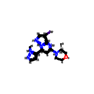 C[C@@H]1COCCN1c1cc(-c2ccnn2C)n2ncc(I)c2n1